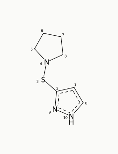 c1cc(SN2CCCC2)n[nH]1